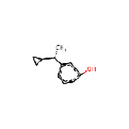 [CH2][C@H](c1cccc(O)c1)C1CC1